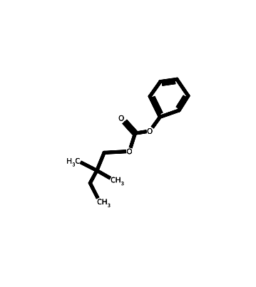 CCC(C)(C)COC(=O)Oc1ccccc1